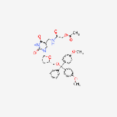 COc1ccc(C(OC[C@@H]2CC[C@H](n3cc(CNC(=O)COC(C)=O)c(=O)[nH]c3=O)O2)(c2ccccc2)c2ccc(OC)cc2)cc1